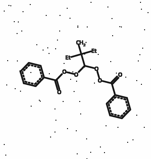 [CH2]C(CC)(CC)[C](OOC(=O)c1ccccc1)OOC(=O)c1ccccc1